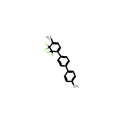 CC1=CC=C(c2ccc(-c3ccc(C)cc3)cc2)C(F)(F)C1(F)F